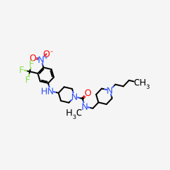 CCCCN1CCC(CN(C)C(=O)N2CCC(Nc3ccc([N+](=O)[O-])c(C(F)(F)F)c3)CC2)CC1